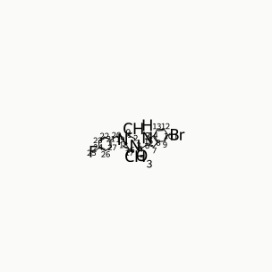 C[C@@H]1CN(C(=O)c2cc3cc(Br)ccc3[nH]2)[C@@H](C)CN1Cc1ccc(F)cc1